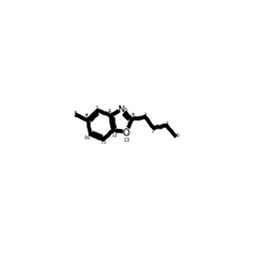 CCCCc1nc2cc(C)ccc2o1